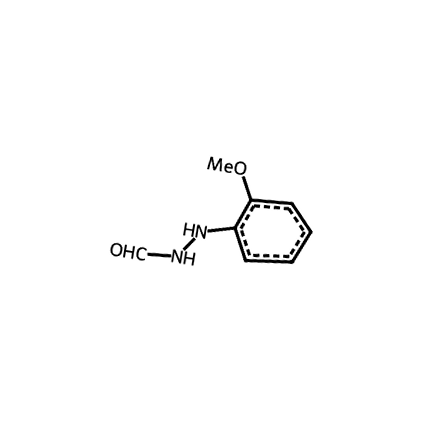 COc1ccccc1NNC=O